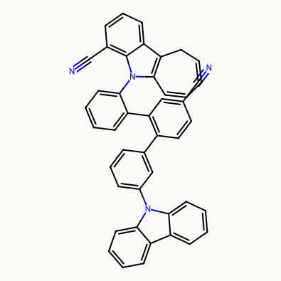 N#Cc1ccc(-c2cccc(-n3c4ccccc4c4ccccc43)c2)c(-c2ccccc2-n2c3c(c4cccc(C#N)c42)CC=CC=C3)c1